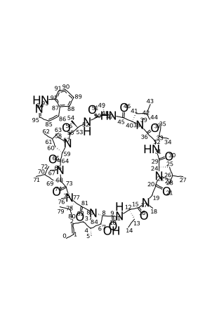 C/C=C/C[C@@H](C)[C@@H](O)[C@H]1C(=O)N[C@@H](CC)C(=O)N(C)CC(=O)N(C)[C@@H](CC(C)C)C(=O)N[C@@H](C(C)C)C(=O)N(C)[C@@H](CC(C)C)C(=O)N[C@@H](C)C(=O)N[C@H](C)C(=O)N(C)[C@@H](CC(C)C)C(=O)N(C)[C@@H](CC(C)C)C(=O)N(C)[C@@H](C(C)C)C(=O)N1C.C1=Cc2ccccc2NN=C1